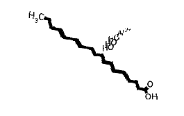 CCCCCCCCCCCCCCCCCC(=O)O.[Al+3].[OH-].[OH-].[OH-]